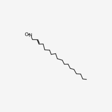 CCCCCCCCCCCCCCCC=CCN=O